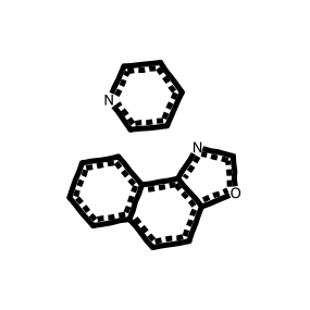 c1ccc2c(c1)ccc1ocnc12.c1ccncc1